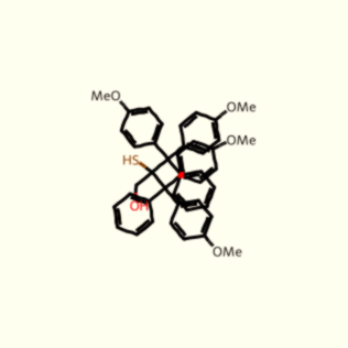 COc1ccc(C(c2ccccc2)(c2ccc(OC)cc2)C(S)(CO)C(c2ccccc2)(c2ccc(OC)cc2)c2ccc(OC)cc2)cc1